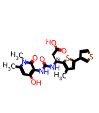 Cc1cc(-c2ccsc2)sc1[C@H](CC(=O)O)NC(=O)Nc1c(O)cc(C)n(C)c1=O